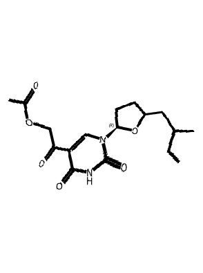 CCC(C)CC1CC[C@H](n2cc(C(=O)COC(C)=O)c(=O)[nH]c2=O)O1